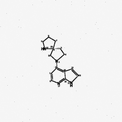 c1cc(N2CC[C@]3(CCCN3)C2)c2cc[nH]c2n1